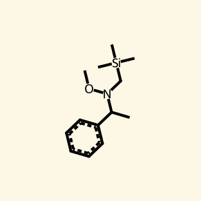 CON(C[Si](C)(C)C)C(C)c1ccccc1